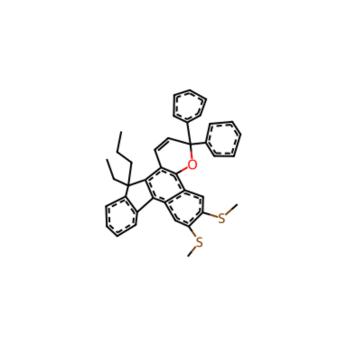 CCCC1(CC)c2ccccc2-c2c1c1c(c3cc(SC)c(SC)cc23)OC(c2ccccc2)(c2ccccc2)C=C1